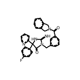 N=C1NC(c2ccc(F)cc2)(c2ccccn2)C(=O)N1Cc1cccc(C(=O)N2Cc3ccccc3C2)c1